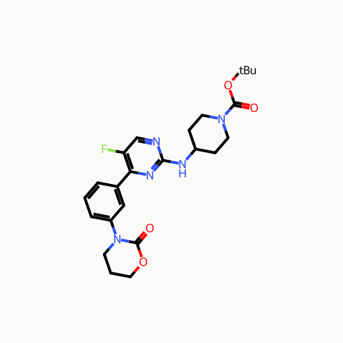 CC(C)(C)OC(=O)N1CCC(Nc2ncc(F)c(-c3cccc(N4CCCOC4=O)c3)n2)CC1